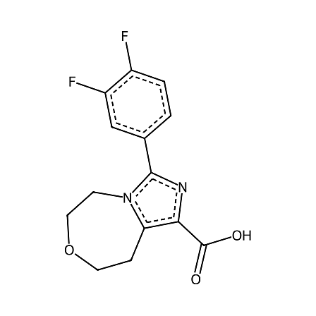 O=C(O)c1nc(-c2ccc(F)c(F)c2)n2c1CCOCC2